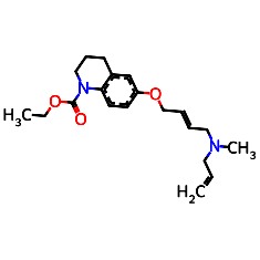 C=CCN(C)C/C=C/COc1ccc2c(c1)CCCN2C(=O)OCC